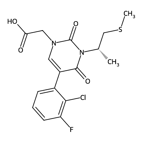 CSC[C@H](C)n1c(=O)c(-c2cccc(F)c2Cl)cn(CC(=O)O)c1=O